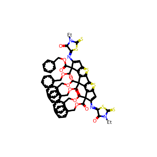 CCN1C(=O)/C(=N/C2=Cc3sc4c(c3C2(C(=O)OCc2ccccc2)C(=O)OCc2ccccc2)C(C(=O)OCc2ccccc2)(C(=O)OCc2ccccc2)c2c-4sc3c2C(C(=O)OCc2ccccc2)(C(=O)OCc2ccccc2)C(/N=C2\SC(=S)N(CC)C2=O)=C3)SC1=S